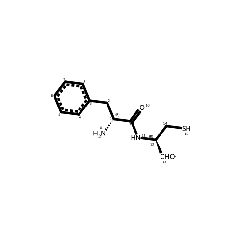 N[C@H](Cc1ccccc1)C(=O)N[C@H]([C]=O)CS